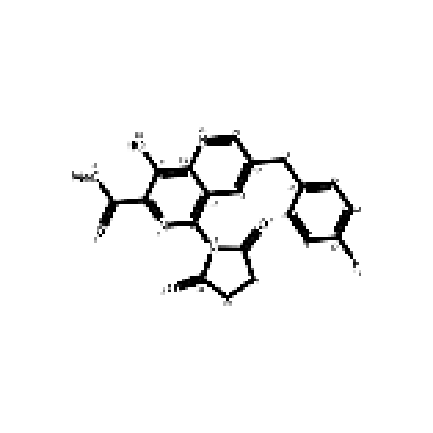 COC(=O)c1nc(N2C(=O)CCC2=O)c2cc(Cc3ccc(F)cc3)cnc2c1O